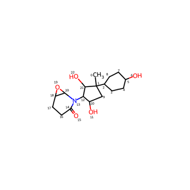 CC1(C2CCC(O)CC2)CC(O)C(N2C(=O)CCC3OC32)C1O